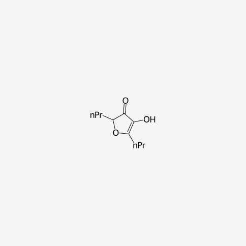 CCCC1=C(O)C(=O)C(CCC)O1